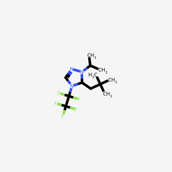 CC(C)N1N=CN(C(F)(F)C(F)(F)F)C1CC(C)(C)C